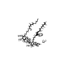 CCCCCCCCCC(=O)OCCCO[C@H]1O[C@H](CS(=O)(=O)[O-])[C@@H](O)[C@H](O)[C@H]1O.CCCCCCCCCC(=O)OCCCO[C@H]1O[C@H](CS(=O)(=O)[O-])[C@@H](O)[C@H](O)[C@H]1O.[Ca+2]